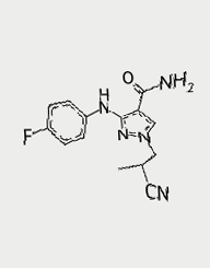 CC(C#N)Cn1cc(C(N)=O)c(Nc2ccc(F)cc2)n1